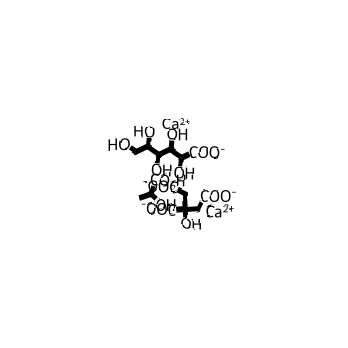 CC(O)C(=O)O.O=C([O-])C(O)C(O)C(O)C(O)CO.O=C([O-])CC(O)(CC(=O)[O-])C(=O)[O-].[Ca+2].[Ca+2]